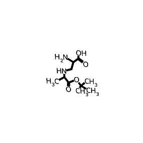 CC(NCC(N)C(=O)O)C(=O)OC(C)(C)C